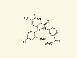 COC(=O)c1cc(NC(=O)c2nc(C)c(C(F)(F)F)cc2Oc2ccc(OC(F)(F)F)cc2OC)ccn1